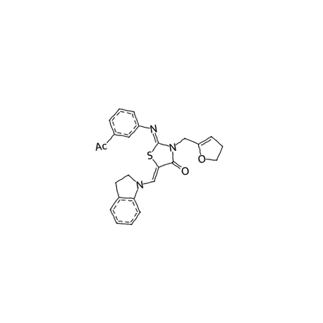 CC(=O)c1cccc(/N=C2\S/C(=C\N3CCc4ccccc43)C(=O)N2CC2=CCCO2)c1